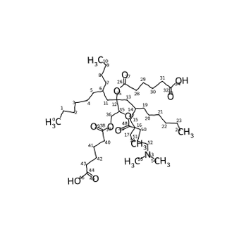 CCCCCCC(CCCC)CC(CC(CCCC)CCCCCC)(OC(=O)CCCCC(=O)O)C(COC(=O)CCCCC(=O)O)OC(=O)CCCN(C)C